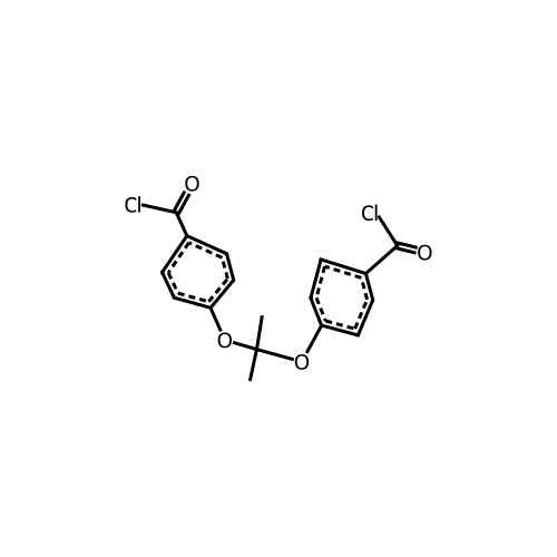 CC(C)(Oc1ccc(C(=O)Cl)cc1)Oc1ccc(C(=O)Cl)cc1